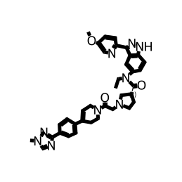 CCN(C(=O)[C@@H]1CCN(CC(=O)N2CC=C(c3ccc(-c4ncn(C)n4)cc3)CC2)C1)c1ccc2[nH]nc(-c3ccc(OC)cn3)c2c1